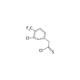 FC(F)(F)c1ccc(CC(=S)Cl)cc1Cl